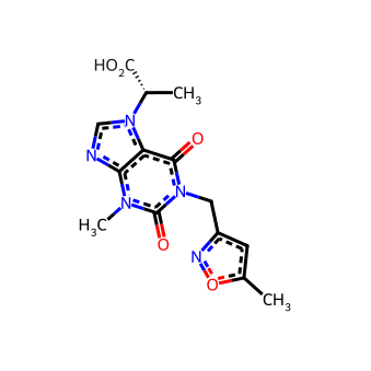 Cc1cc(Cn2c(=O)c3c(ncn3[C@@H](C)C(=O)O)n(C)c2=O)no1